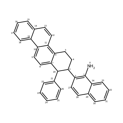 Nc1c(C2CCc3c(ccc4c3ccc3ccccc34)C2c2ccccc2)ccc2ccccc12